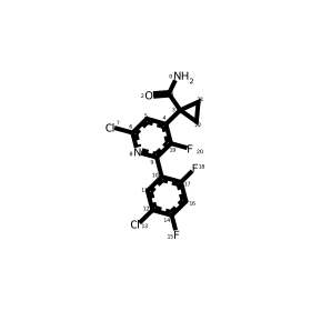 NC(=O)C1(c2cc(Cl)nc(-c3cc(Cl)c(F)cc3F)c2F)CC1